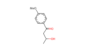 COc1ccc(C(=O)CC(C)O)cc1